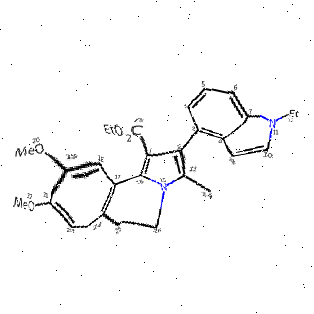 CCOC(=O)c1c(-c2cccc3c2ccn3CC)c(C)n2c1-c1cc(OC)c(OC)cc1CC2